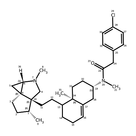 C[C@@H]1CC[C@]23C[C@@H]2N(C)C[C@]13CCC1CCC=C2C[C@@H](N(C)C(=O)Cc3ccc(Cl)cc3)CC[C@@]21C